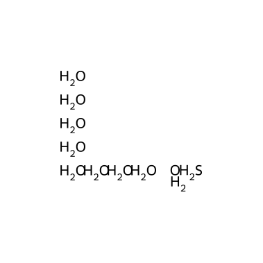 O.O.O.O.O.O.O.O.O.S